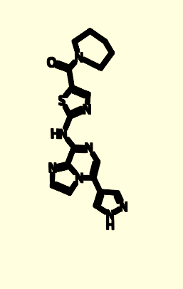 O=C(c1cnc(Nc2ncc(-c3cn[nH]c3)n3ccnc23)s1)N1CCCCC1